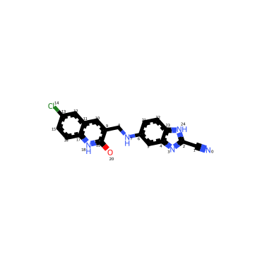 N#Cc1nc2cc(NCc3cc4cc(Cl)ccc4[nH]c3=O)ccc2[nH]1